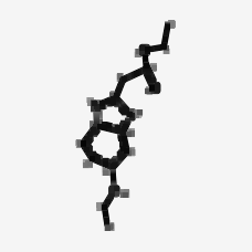 CCOC(=O)Cc1nc2ccc(OCC)cc2s1